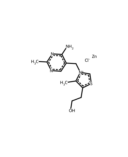 Cc1ncc(C[n+]2csc(CCO)c2C)c(N)n1.[Cl-].[Zn]